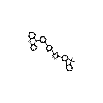 CC1(C)c2ccccc2-c2cc(-c3nsc(-c4ccc(-c5cccc(N6c7ccccc7Oc7ccccc76)c5)cc4)n3)ccc21